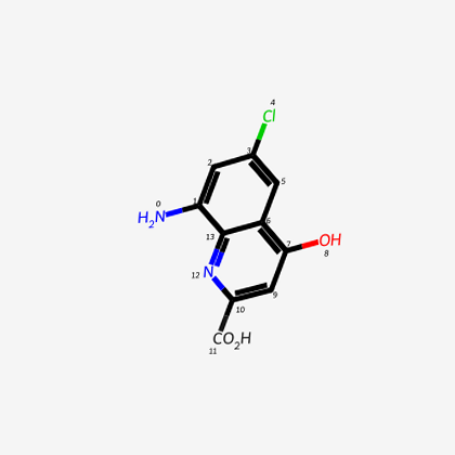 Nc1cc(Cl)cc2c(O)cc(C(=O)O)nc12